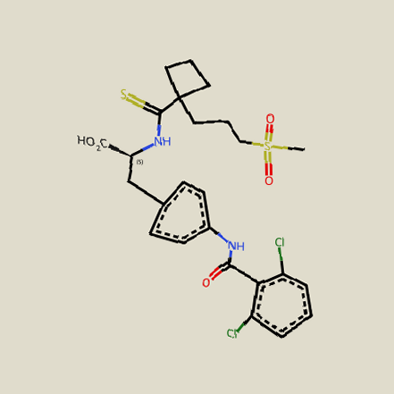 CS(=O)(=O)CCCC1(C(=S)N[C@@H](Cc2ccc(NC(=O)c3c(Cl)cccc3Cl)cc2)C(=O)O)CCC1